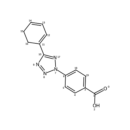 O=C(O)c1ccc(-n2nnc(C3=CC=CCC3)n2)cc1